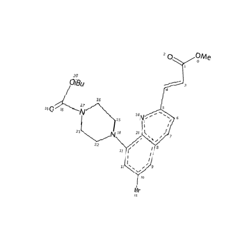 COC(=O)C=Cc1ccc2cc(Br)cc(N3CCN(C(=O)OCC(C)C)CC3)c2n1